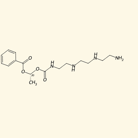 C[C@@H](OC(=O)NCCNCCNCCN)OC(=O)c1ccccc1